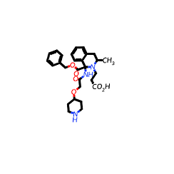 CC1Cc2ccccc2C(NC(=O)COC2CCNCC2)(C(=O)OCc2ccccc2)N1CCC(=O)O